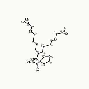 NC(=O)C1(C(=O)N(CCCCOCC2CO2)CCCCOCC2CO2)CCCC1